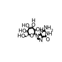 Nc1nc2c(ncn2[C@@H]2O[C@H](CO)[C@@H](O)[C@@H](O)[C@@H](O)[C@H]2O)c(=O)[nH]1